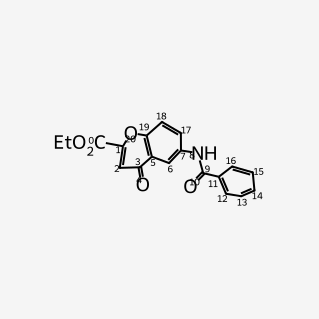 CCOC(=O)c1cc(=O)c2cc(NC(=O)c3ccccc3)ccc2o1